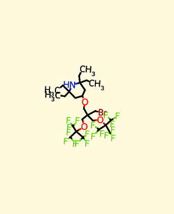 CCC1(CC)CC(OCC(CBr)(COC(C(F)(F)F)(C(F)(F)F)C(F)(F)F)COC(C(F)(F)F)(C(F)(F)F)C(F)(F)F)CC(CC)(CC)N1